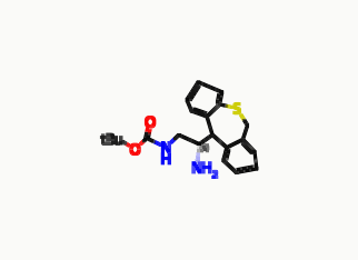 CC(C)(C)OC(=O)NC[C@@H](N)C1c2ccccc2CSc2ccccc21